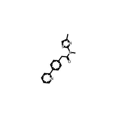 Cc1csc(N(C)C(=O)Cc2ccc(-c3ccccn3)cc2)n1